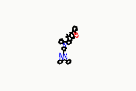 CC1(C)c2cc3c(cc2-c2ccc4c(c21)c1ccccc1n4-c1ccc(-c2nc(-c4ccccc4)c4ccccc4n2)cc1)oc1ccccc13